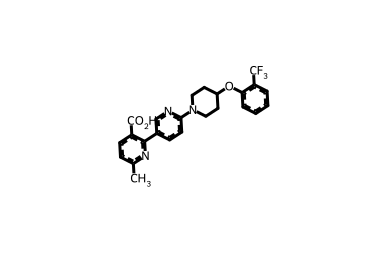 Cc1ccc(C(=O)O)c(-c2ccc(N3CCC(Oc4ccccc4C(F)(F)F)CC3)nc2)n1